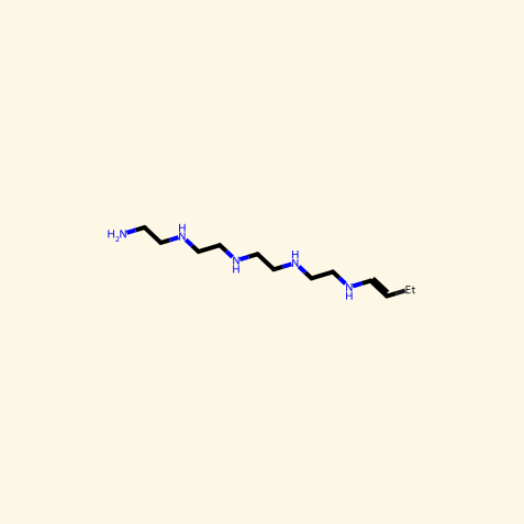 CCC=CNCCNCCNCCNCCN